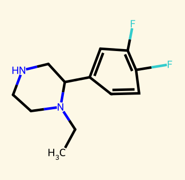 CCN1CCNCC1c1ccc(F)c(F)c1